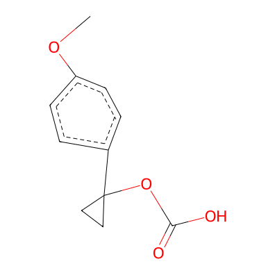 COc1ccc(C2(OC(=O)O)CC2)cc1